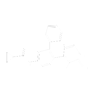 C=C/C(F)=C(\C(F)=C/N)c1ncc(NC(=O)C2CC2)nc1-c1ccncc1